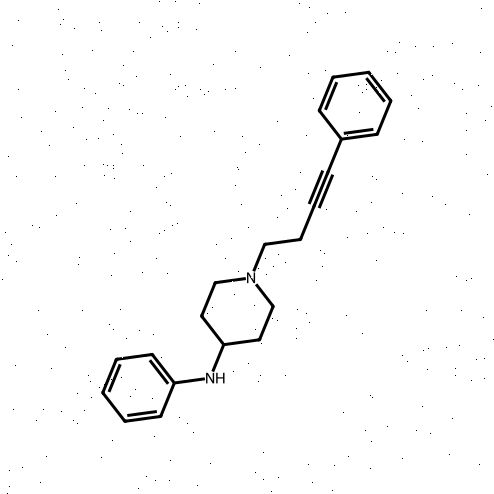 C(#Cc1ccccc1)CCN1CCC(Nc2ccccc2)CC1